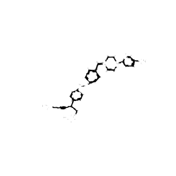 CC#CC(CC(=O)O)c1ccc(OCc2ccc(CN3CCN(c4ccc(C#N)cn4)CC3)cc2)cc1